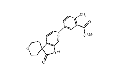 COC(=O)c1cc(-c2ccc3c(c2)NC(=O)C32CCOCC2)ccc1C